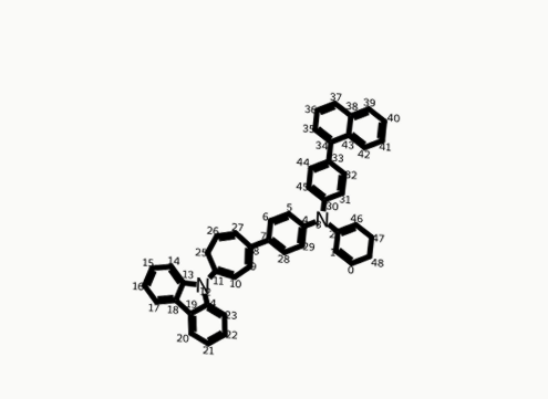 C1=CC(N(c2ccc(C3=CC=C(n4c5ccccc5c5ccccc54)CC=C3)cc2)c2ccc(-c3cccc4ccccc34)cc2)=CCC1